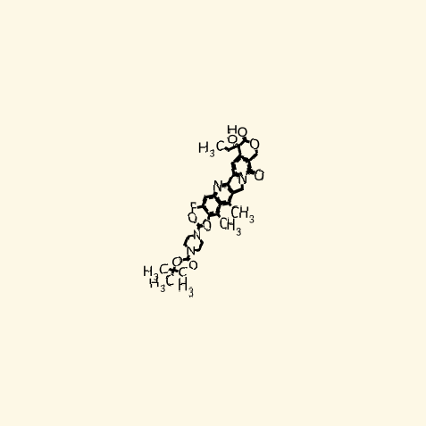 CC[C@@]1(O)C(=O)OCc2c1cc1n(c2=O)Cc2c-1nc1cc(F)c(OC(=O)N3CCN(C(=O)OC(C)(C)C)CC3)c(C)c1c2C